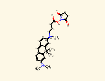 CN(C)c1ccc2c(c1)[Si](C)(C)C1=C/C(=[N+](\C)CCCC(=O)ON3C(=O)CCC3=O)C=CC1=C2